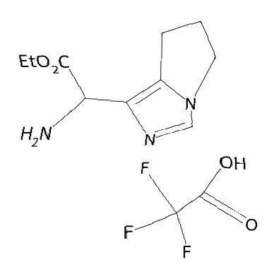 CCOC(=O)C(N)c1ncn2c1CCC2.O=C(O)C(F)(F)F